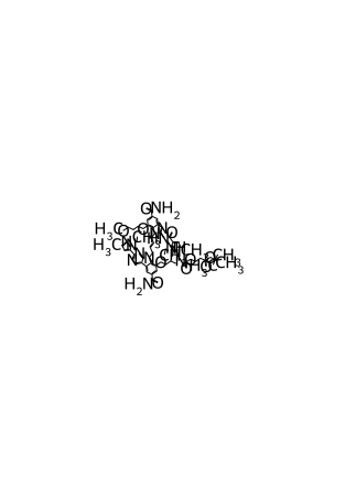 CCn1nc(C)cc1C(=O)Nc1nc2cc(C(N)=O)cc(OCCCOC)c2n1C/C=C/Cn1c2nc(-c3cc(C)nn3CC)ncc2c2cc(C(N)=O)cc(OCCCNC(=O)OCCC(=O)OC(C)(C)C)c21